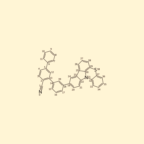 N#Cc1ccc(-c2ccccc2)cc1-c1cccc(-c2ccc3c(c2)c2cccc4c2n3-c2ccccc2S4)c1